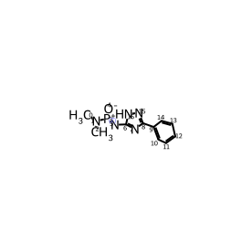 CN(C)/[P+]([O-])=N/c1nc(-c2ccccc2)n[nH]1